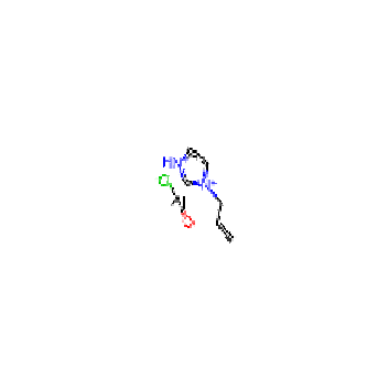 C=CC[n+]1cc[nH]c1.[O]=[Al][Cl]